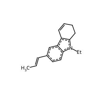 C/C=C/c1ccc2c(c1)c1c(n2CC)CCC=C1